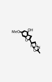 COc1cc(O)c2cc(-c3cn4nc(C)oc4n3)oc2c1